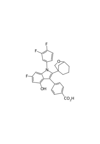 O=C(O)c1ccc(-c2c(C34CCCC(C3)OC4)n(-c3ccc(F)c(F)c3)c3cc(F)cc(O)c23)cc1